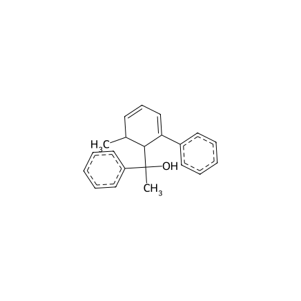 CC1C=CC=C(c2ccccc2)C1C(C)(O)c1ccccc1